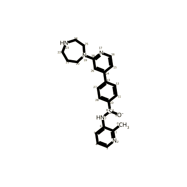 Cc1ncccc1N[S+]([O-])c1ccc(-c2ccnc(N3CCCNCC3)c2)cc1